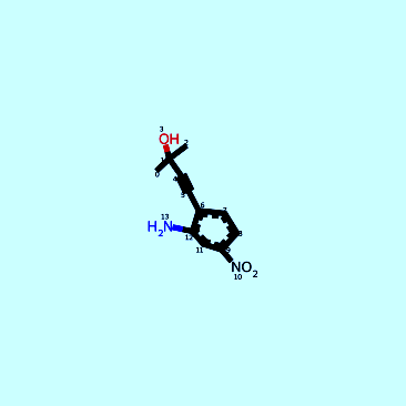 CC(C)(O)C#Cc1ccc([N+](=O)[O-])cc1N